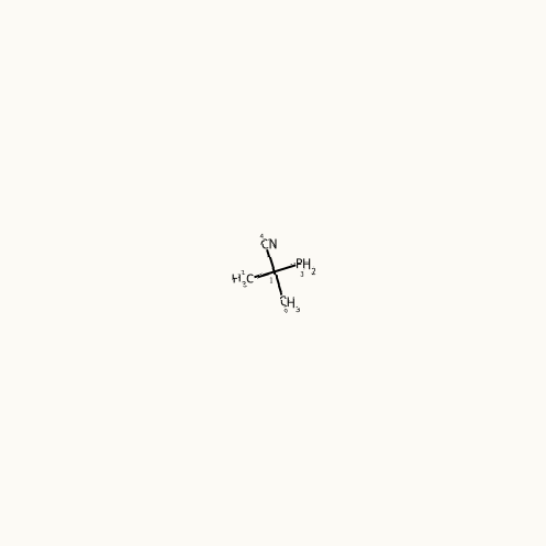 CC(C)(P)C#N